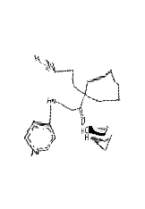 Cl.Cl.NCCC1(C(=O)Nc2ccncc2)CCCCC1